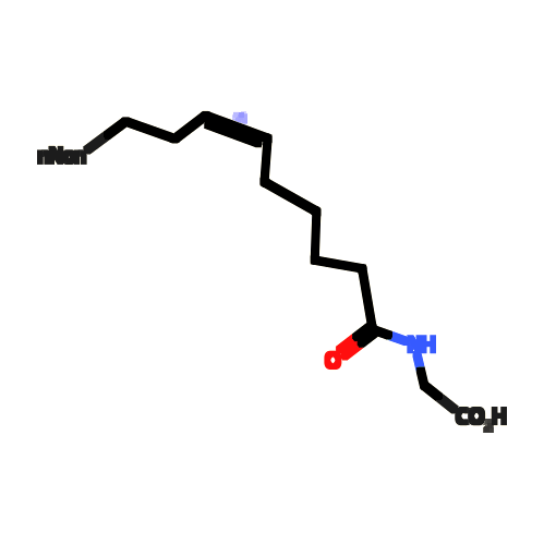 CCCCCCCCCCC/C=C\CCCCC(=O)NCC(=O)O